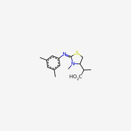 Cc1cc(C)cc(N=C2SCC(C(C)C(=O)O)N2C)c1